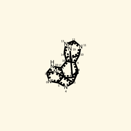 n1c2nc3nc1c1c4c3c3c5nc(nc(n5)c3c1[nH]2)N4